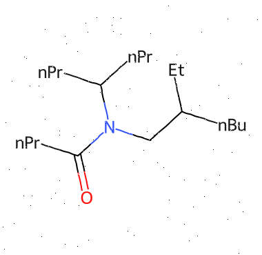 CCCCC(CC)CN(C(=O)CCC)C(CCC)CCC